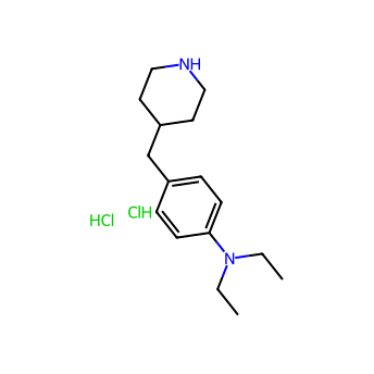 CCN(CC)c1ccc(CC2CCNCC2)cc1.Cl.Cl